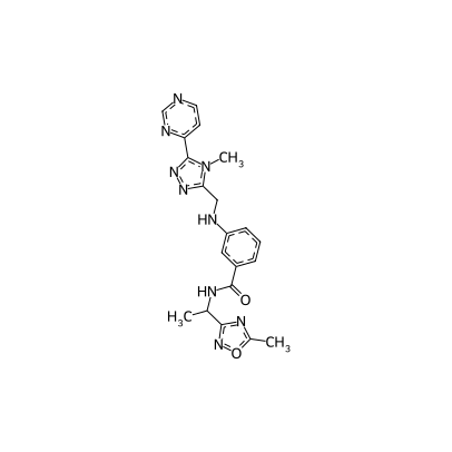 Cc1nc(C(C)NC(=O)c2cccc(NCc3nnc(-c4ccncn4)n3C)c2)no1